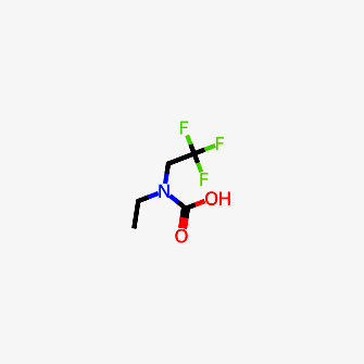 CCN(CC(F)(F)F)C(=O)O